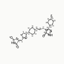 O=C1NC(=O)C(=Cc2ccc(-c3ccc(C=CCn4c(-c5ccc(F)cc5)n[nH]c4=O)cc3)o2)S1